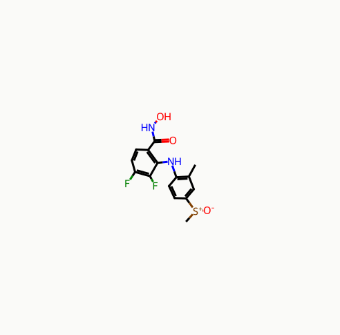 Cc1cc([S+](C)[O-])ccc1Nc1c(C(=O)NO)ccc(F)c1F